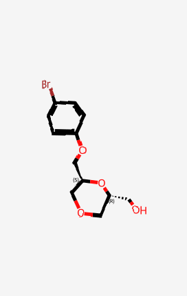 OC[C@@H]1COC[C@@H](COc2ccc(Br)cc2)O1